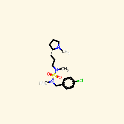 CN1CCC[C@H]1CCCN(C)S(=O)(=O)N(C)Cc1ccc(Cl)cc1